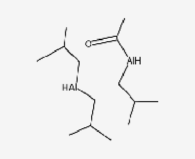 CC(C)[CH2][AlH][CH2]C(C)C.C[C](=O)[AlH][CH2]C(C)C